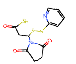 O=C(S)CC(SSc1ccccn1)N1C(=O)CCC1=O